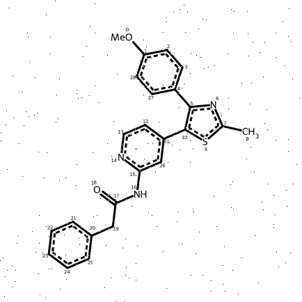 COc1ccc(-c2nc(C)sc2-c2ccnc(NC(=O)Cc3ccccc3)c2)cc1